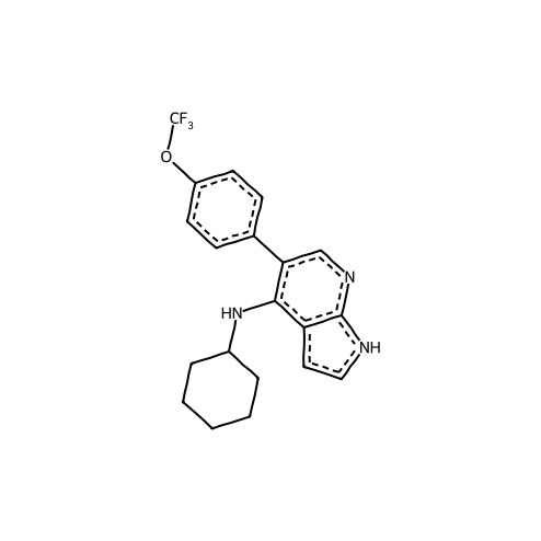 FC(F)(F)Oc1ccc(-c2cnc3[nH]ccc3c2NC2CCCCC2)cc1